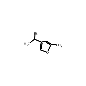 CCC(C)c1coc(C)c1